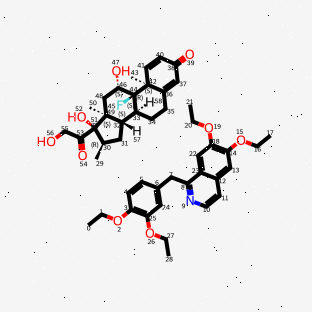 CCOc1ccc(Cc2nccc3cc(OCC)c(OCC)cc23)cc1OCC.C[C@@H]1C[C@H]2[C@@H]3CCC4=CC(=O)C=C[C@]4(C)[C@@]3(F)[C@@H](O)C[C@]2(C)[C@@]1(O)C(=O)CO